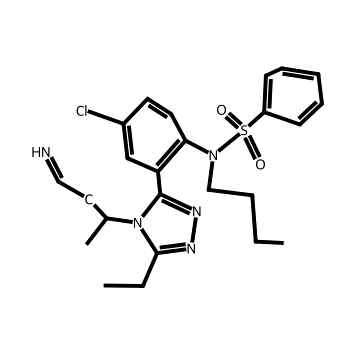 CCCCN(c1ccc(Cl)cc1-c1nnc(CC)n1C(C)CC=N)S(=O)(=O)c1ccccc1